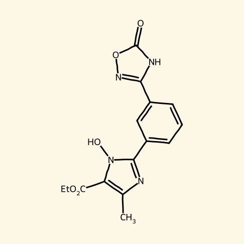 CCOC(=O)c1c(C)nc(-c2cccc(-c3noc(=O)[nH]3)c2)n1O